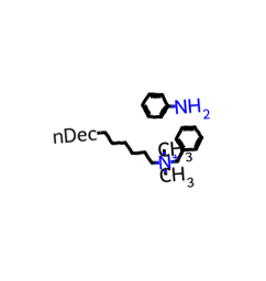 CCCCCCCCCCCCCCCC[N+](C)(C)Cc1ccccc1.Nc1ccccc1